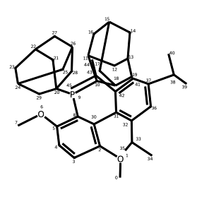 COc1ccc(OC)c(P(C2C3CC4CC(C3)CC2C4)C23CC4CC(CC(C4)C2)C3)c1-c1c(C(C)C)cc(C(C)C)cc1C(C)C